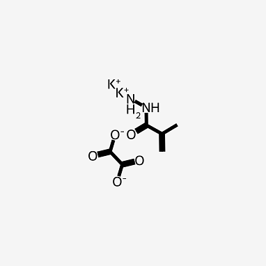 C=C(C)C(=O)NN.O=C([O-])C(=O)[O-].[K+].[K+]